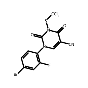 N#Cc1cn(-c2ccc(Br)cc2F)c(=O)n(SC(Cl)(Cl)Cl)c1=O